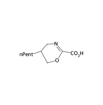 CCCCCC1CN=C(C(=O)O)OC1